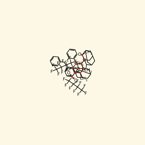 CC(=O)OC(Oc1ccccc1[S+](c1ccccc1)c1ccccc1OC(OC(C)=[N+](S(=O)(=O)C(F)(F)C(F)(F)C(F)(F)C(F)(F)F)S(=O)(=O)C(F)(F)C(F)(F)C(F)(F)C(F)(F)F)C12CC3CC(CC(C3)C1C)C2)C12CC3CC(CC(C3)C1C)C2